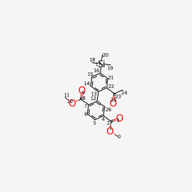 COC(=O)c1ccc(C(=O)OC)c(-c2ccc([Si](C)(C)C)cc2C(C)=O)c1